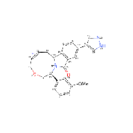 COc1cccc([C@H]2COC/C=C\CC3c4ccc(-c5cn[nH]c5)cc4C(=O)N32)c1